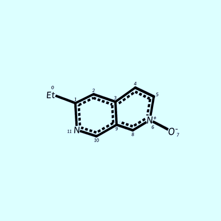 CCc1cc2cc[n+]([O-])cc2cn1